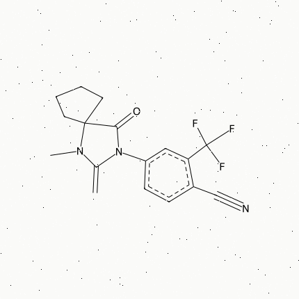 C=C1N(c2ccc(C#N)c(C(F)(F)F)c2)C(=O)C2(CCCC2)N1C